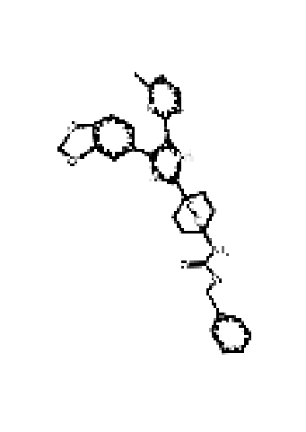 Cc1cccc(-c2[nH]c(C34CCC(NC(=O)OCc5ccccc5)(CC3)CC4)nc2-c2ccc3c(c2)OCO3)n1